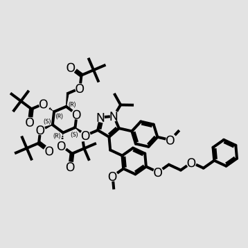 COc1ccc(-c2c(Cc3ccc(OCCOCc4ccccc4)cc3OC)c(O[C@@H]3O[C@H](COC(=O)C(C)(C)C)[C@@H](OC(=O)C(C)(C)C)[C@H](OC(=O)C(C)(C)C)[C@H]3OC(=O)C(C)(C)C)nn2C(C)C)cc1